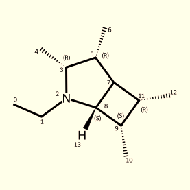 CCN1[C@H](C)[C@H](C)C2[C@@H]1[C@@H](C)[C@H]2C